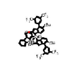 CCC(C)C1=Cc2c(ccc(C(C)(C)C)c2-c2cc(C(F)(F)F)cc(C(F)(F)F)c2)[CH]1[Zr]([Cl])([Cl])([c]1cccc2c1[SiH2]c1ccccc1-2)[CH]1C(C(C)CC)=Cc2c1ccc(C(C)(C)C)c2-c1cc(C(F)(F)F)cc(C(F)(F)F)c1